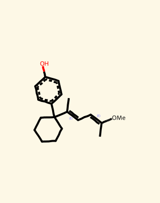 CO/C(C)=C/C=C(\C)C1(c2ccc(O)cc2)CCCCC1